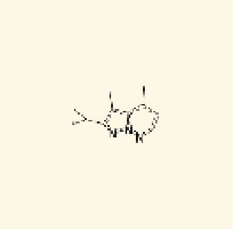 Cc1ccnn2nc(C3CC3)c(C)c12